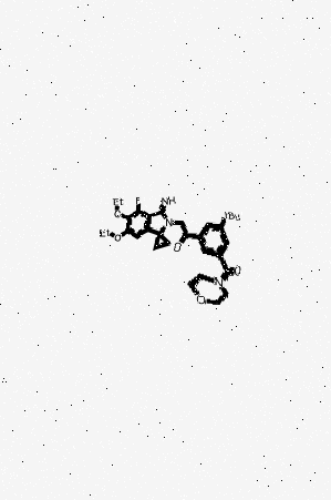 CCOc1cc2c(c(F)c1OCC)C(=N)N(CC(=O)c1cc(C(=O)N3CCOCC3)cc(C(C)(C)C)c1)C21CC1